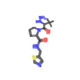 CC(C)(C)C(NN)C(=O)N1CCCC1C(=O)NCc1cncs1